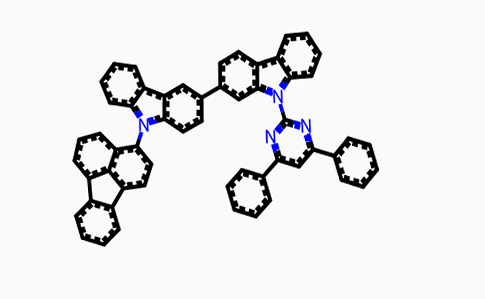 c1ccc(-c2cc(-c3ccccc3)nc(-n3c4ccccc4c4ccc(-c5ccc6c(c5)c5ccccc5n6-c5ccc6c7c(cccc57)-c5ccccc5-6)cc43)n2)cc1